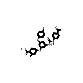 CC(=O)c1ccc(NC(=O)Nc2cc(Oc3ccc(F)cc3)cc(Oc3ccc(C(=O)O)c(C)c3)c2)cc1